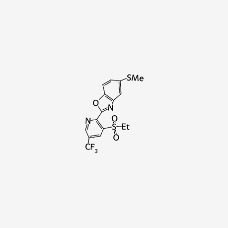 CCS(=O)(=O)c1cc(C(F)(F)F)cnc1-c1nc2cc(SC)ccc2o1